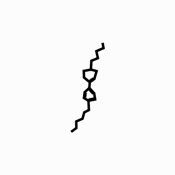 CCCCCCc1ccc(C2=CCC(CCCCC)CC2)cc1